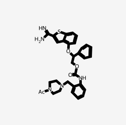 CC(=O)N1CCN(Cc2ccccc2NC(=O)OCC(Oc2cccc3sc(C(=N)N)cc23)c2ccccc2)CC1